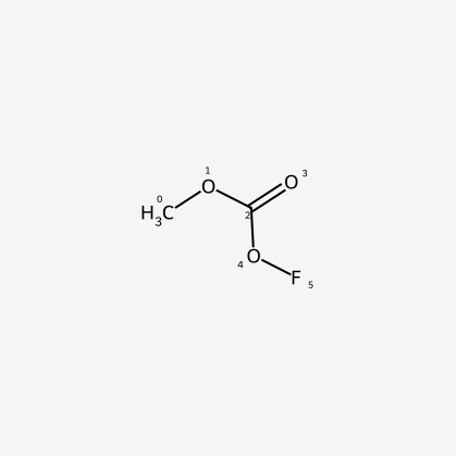 COC(=O)OF